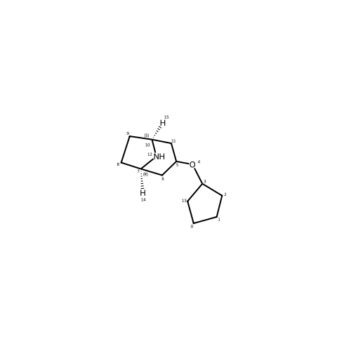 C1CCC(OC2C[C@H]3CC[C@@H](C2)N3)C1